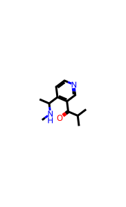 CNC(C)c1ccncc1C(=O)C(C)C